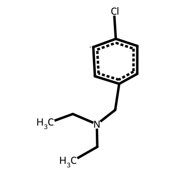 CCN(CC)Cc1c[c]c(Cl)cc1